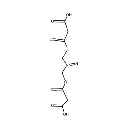 [N-]=[N+](COC(=O)CC(=O)O)COC(=O)CC(=O)O